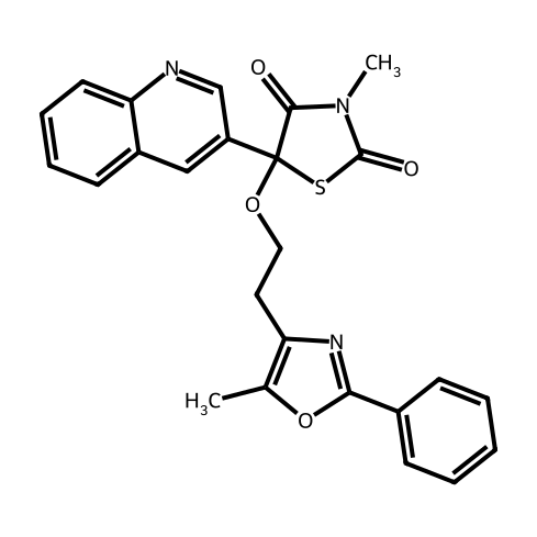 Cc1oc(-c2ccccc2)nc1CCOC1(c2cnc3ccccc3c2)SC(=O)N(C)C1=O